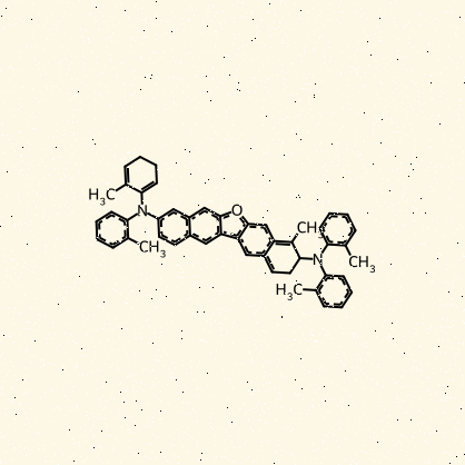 CC1=CCCC=C1N(c1ccc2cc3c(cc2c1)oc1cc2c(cc13)=CCC(N(c1ccccc1C)c1ccccc1C)C=2C)c1ccccc1C